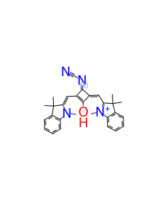 CN1C(=CC2=C(O)C(=CC3=[N+](C)c4ccccc4C3(C)C)/C2=N/C#N)C(C)(C)c2ccccc21